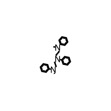 CN(CCN(CCN(C)c1ccccc1)c1ccccc1)c1ccccc1